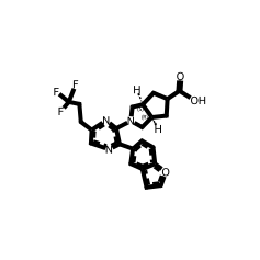 O=C(O)C1C[C@@H]2CN(c3nc(CCC(F)(F)F)cnc3-c3ccc4occc4c3)C[C@@H]2C1